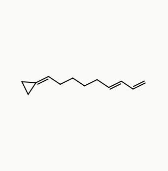 C=CC=CCCCCC=C1CC1